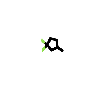 C[C]1CCC(F)(F)C1